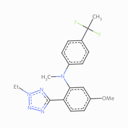 CCn1nnc(-c2ccc(OC)cc2N(C)c2ccc(C(C)(F)F)cc2)n1